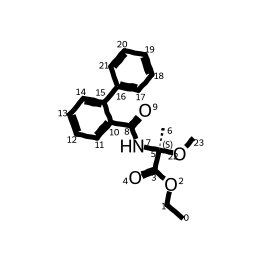 CCOC(=O)[C@@](C)(NC(=O)c1ccccc1-c1ccccc1)OC